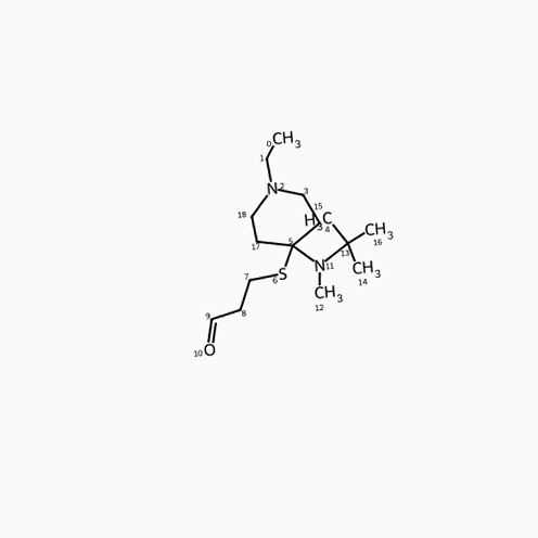 CCN1CCC(SCCC=O)(N(C)C(C)(C)C)CC1